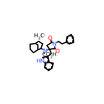 O=C1CC(Cc2c[nH]c3ccccc23)(N(C(=O)O)C2CCC3CCCC2C3)C(=O)N1CCc1ccccc1.[CH2]